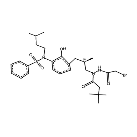 CC(C)CCN(c1cccc(C[C@@H](C)CN(NC(=O)CBr)C(=O)CC(C)(C)C)c1O)S(=O)(=O)c1ccccc1